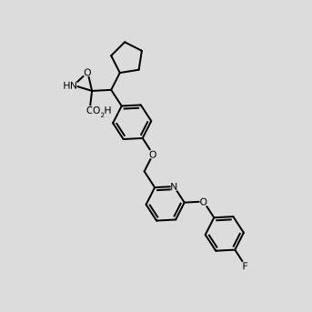 O=C(O)C1(C(c2ccc(OCc3cccc(Oc4ccc(F)cc4)n3)cc2)C2CCCC2)NO1